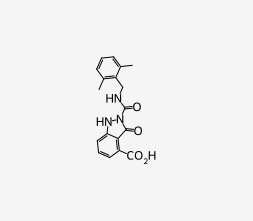 Cc1cccc(C)c1CNC(=O)n1[nH]c2cccc(C(=O)O)c2c1=O